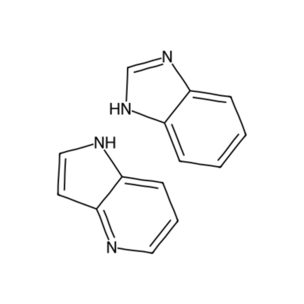 c1ccc2[nH]cnc2c1.c1cnc2cc[nH]c2c1